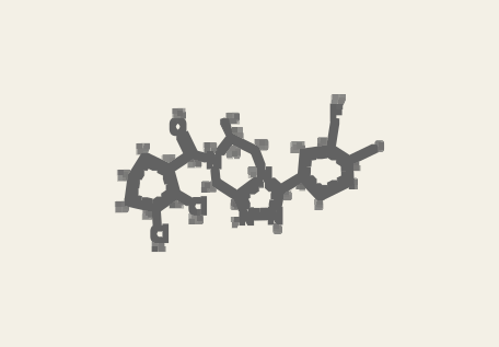 Cc1ccc(-c2nnc3n2C[C@H](C)N(C(=O)c2cccc(Cl)c2Cl)C3)cc1F